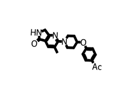 CC(=O)c1ccc(OC2CCN(c3nc4c(cc3C)C(=O)NC4)CC2)cc1